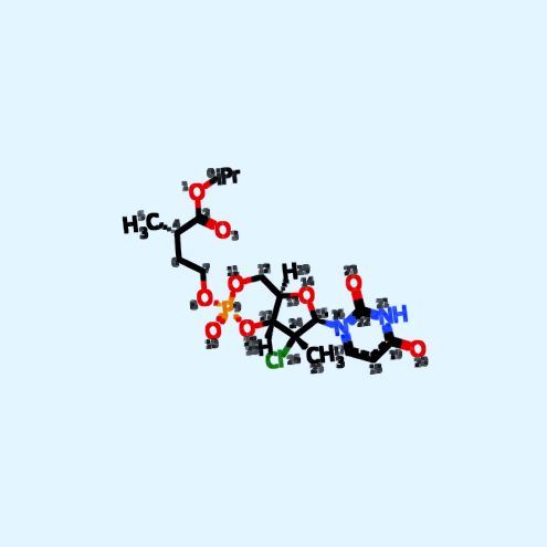 CC(C)OC(=O)[C@@H](C)CCO[P@]1(=O)OC[C@H]2O[C@@H](n3ccc(=O)[nH]c3=O)[C@](C)(Cl)[C@@H]2O1